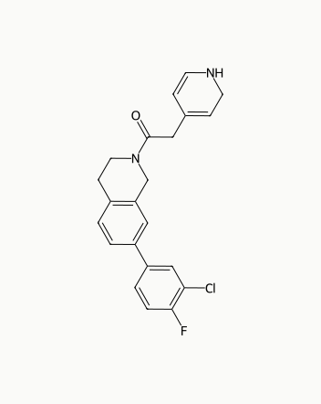 O=C(CC1=CCNC=C1)N1CCc2ccc(-c3ccc(F)c(Cl)c3)cc2C1